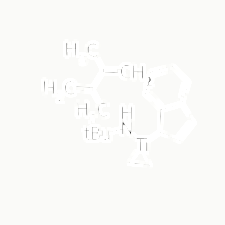 C=C(C)C(=C)C.CC(C)(C)[NH][Ti]1([CH]2C=Cc3ccccc32)[CH2][CH2]1